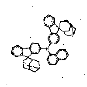 c1ccc2c(c1)-c1cc(N(c3ccc4c(c3)C3(c5ccccc5-4)C4CCC5CC(C4)CC3C5)c3cccc4ccccc34)ccc1C21C2CCC3CC(C2)CC1C3